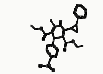 CCOC(=O)C1=C(C)NC(C2CC2c2ccccc2)=C(C(=O)OCC)C1c1ccc([N+](=O)[O-])cc1